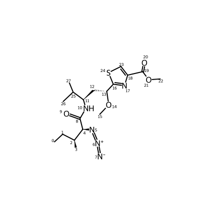 CC[C@H](C)[C@H](N=[N+]=[N-])C(=O)N[C@H](C[C@@H](OC)c1nc(C(=O)OC)cs1)C(C)C